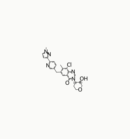 Cc1c(Cc2ccc(-c3ccn(C)n3)nc2)cc2c(=O)n([C@H]3CCOC[C@@H]3O)cnc2c1Cl